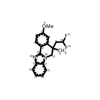 COc1ccc2c(c1)C(C)(CC(F)F)Cn1c-2nc2ccccc21